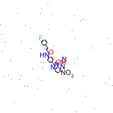 CN(C)CCN(C)c1c([N+](=O)[O-])ccc2nc(-c3ccc(NC(=O)/C=C/c4ccc(F)cc4)cc3)n(O)c12